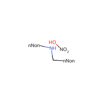 CCCCCCCCCCNCCCCCCCCC.O=[N+]([O-])O